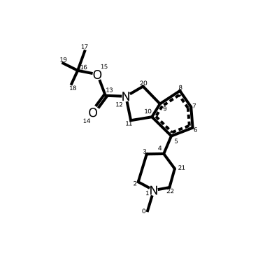 CN1CCC(c2cccc3c2CN(C(=O)OC(C)(C)C)C3)CC1